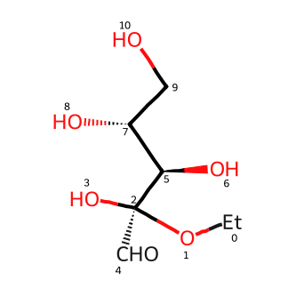 CCO[C@](O)(C=O)[C@H](O)[C@H](O)CO